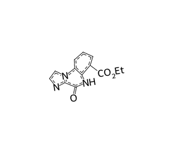 CCOC(=O)c1cccc2c1[nH]c(=O)c1nccn12